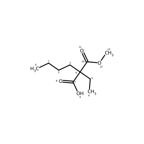 CCCCC(CC)(C(=O)O)C(=O)OC